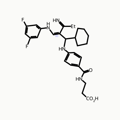 CCC(=N)/C(=C\Nc1cc(F)cc(F)c1)C(Nc1ccc(C(=O)NCCC(=O)O)cc1)C1CCCCC1